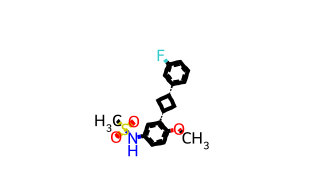 COc1ccc(NS(C)(=O)=O)cc1[C@H]1C[C@@H](c2cccc(F)c2)C1